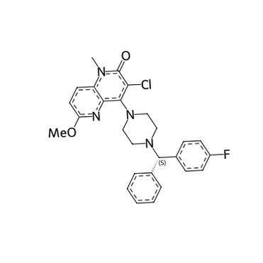 COc1ccc2c(n1)c(N1CCN([C@@H](c3ccccc3)c3ccc(F)cc3)CC1)c(Cl)c(=O)n2C